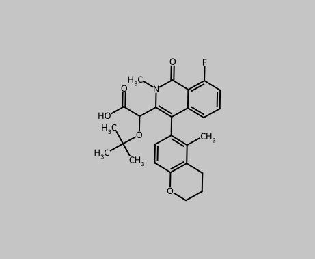 Cc1c(-c2c(C(OC(C)(C)C)C(=O)O)n(C)c(=O)c3c(F)cccc23)ccc2c1CCCO2